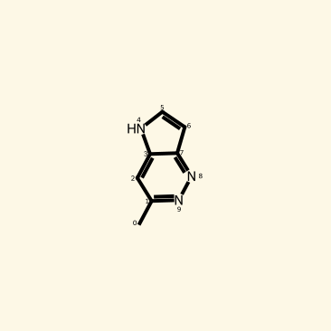 Cc1cc2[nH]ccc2nn1